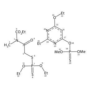 CCOC(=O)N(C)C(=O)CSP(=S)(OCC)OCC.CCOc1cc(OP(=S)(OC)OC)nc(CC)n1